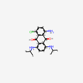 CC(C)Nc1ccc(NC(C)C)c2c1C(=O)c1c(N)ccc(Cl)c1C2=O